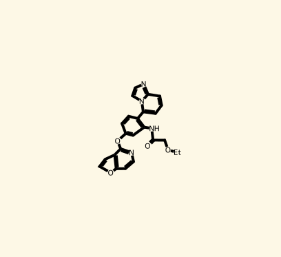 CCOCC(=O)Nc1cc(Oc2nccc3occc23)ccc1-c1cccc2nccn12